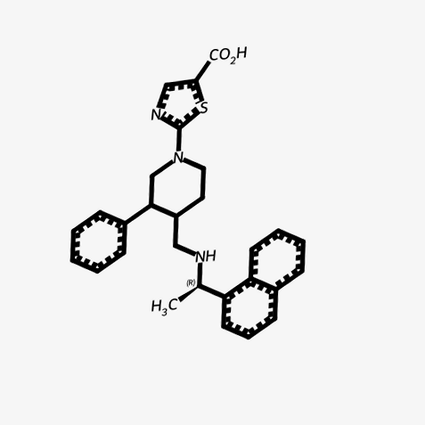 C[C@@H](NCC1CCN(c2ncc(C(=O)O)s2)CC1c1ccccc1)c1cccc2ccccc12